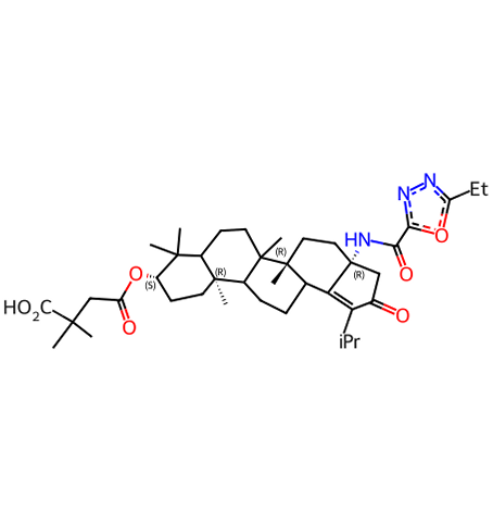 CCc1nnc(C(=O)N[C@@]23CC[C@]4(C)C(CCC5C4(C)CCC4C(C)(C)[C@@H](OC(=O)CC(C)(C)C(=O)O)CC[C@@]45C)C2=C(C(C)C)C(=O)C3)o1